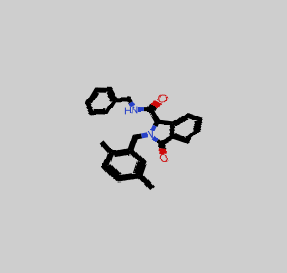 Cc1ccc(C)c(CN2C(=O)c3ccccc3C2C(=O)NCc2ccccc2)c1